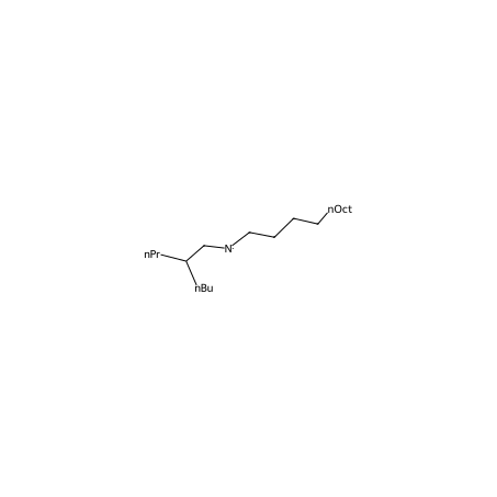 CCCCCCCCCCCC[N]CC(CCC)CCCC